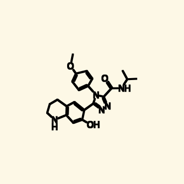 COc1ccc(-n2c(C(=O)NC(C)C)nnc2-c2cc3c(cc2O)NCCC3)cc1